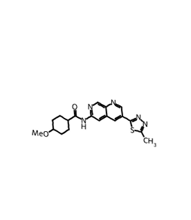 COC1CCC(C(=O)Nc2cc3cc(-c4nnc(C)s4)cnc3cn2)CC1